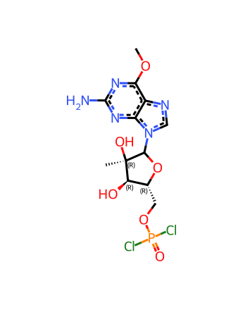 COc1nc(N)nc2c1ncn2C1O[C@H](COP(=O)(Cl)Cl)[C@@H](O)[C@@]1(C)O